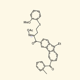 CCn1c2ccc(C(=O)/C(CCSc3ccccc3OC)=N/OC(C)=O)cc2c2cc(C(=O)c3ccccc3C)ccc21